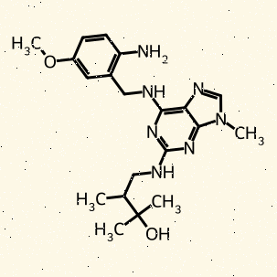 COc1ccc(N)c(CNc2nc(NCC(C)C(C)(C)O)nc3c2ncn3C)c1